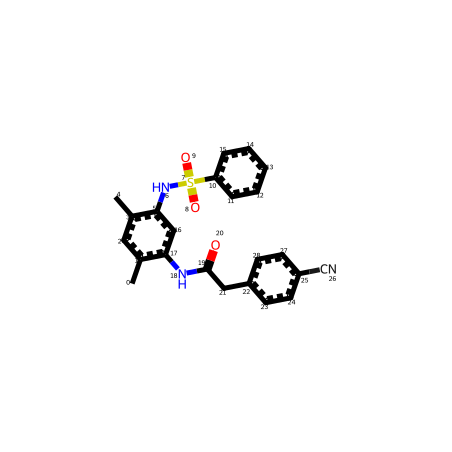 Cc1cc(C)c(NS(=O)(=O)c2ccccc2)cc1NC(=O)Cc1ccc(C#N)cc1